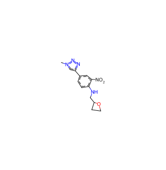 Cn1cc(-c2ccc(NCC3CCO3)c([N+](=O)[O-])c2)nn1